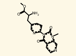 COC(=O)C(N)Cc1ccc(-n2c(=O)c3ccncc3n(C)c2=O)nc1